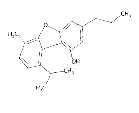 CCCc1cc(O)c2c(c1)oc1c(C)ccc(C(C)C)c12